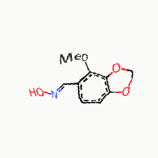 COc1c(C=NO)ccc2c1OCO2